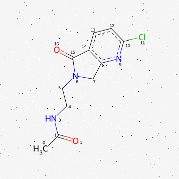 CC(=O)NCCN1Cc2nc(Cl)ccc2C1=O